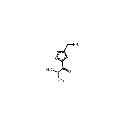 CN(C)C(=O)c1nc(CN)no1